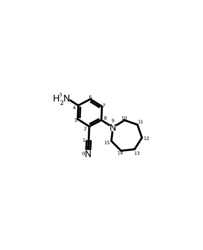 N#Cc1cc(N)ccc1N1CCCCCC1